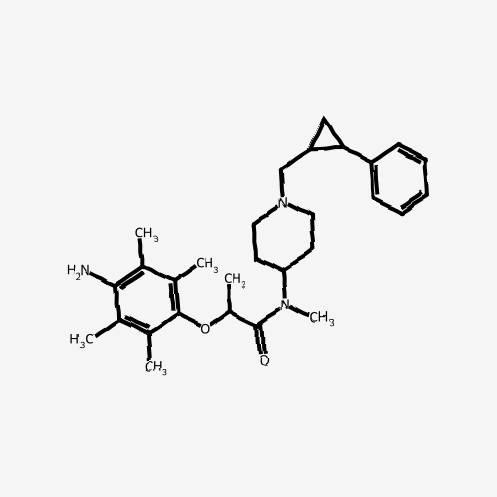 Cc1c(C)c(OC(C)C(=O)N(C)C2CCN(CC3CC3c3ccccc3)CC2)c(C)c(C)c1N